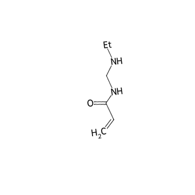 C=CC(=O)NCNCC